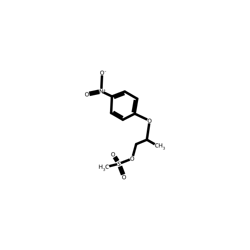 CC(COS(C)(=O)=O)Oc1ccc([N+](=O)[O-])cc1